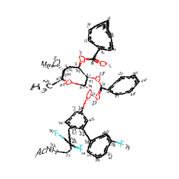 CO[C@@H]1[C@@H](OC(=O)c2ccccc2)[C@@H](OC(=O)c2ccccc2)[C@H](Oc2ccc(C(F)(F)CNC(C)=O)c(-c3cccc(F)c3)c2)O[C@H]1C